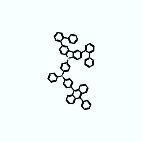 c1ccc(-c2ccccc2-c2ccc3c(c2)c2cc(-c4ccccc4-c4ccccc4)ccc2n3-c2ccc(N(c3ccccc3)c3ccc(-c4c5ccccc5c(-c5ccccc5)c5ccccc45)cc3)cc2)cc1